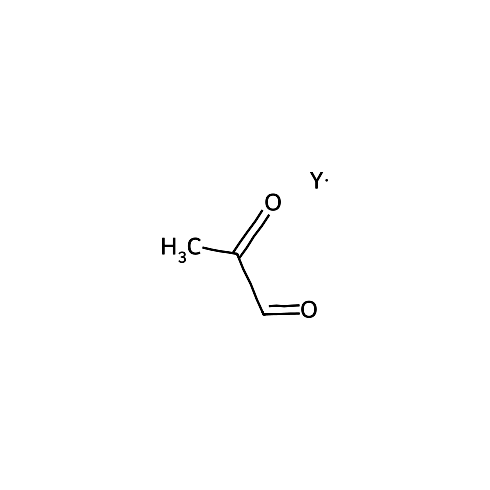 CC(=O)C=O.[Y]